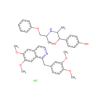 CC(COc1ccccc1)NC(C)C(O)c1ccc(O)cc1.COc1ccc(Cc2nccc3cc(OC)c(OC)cc23)cc1OC.Cl